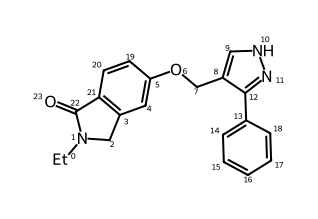 CCN1Cc2cc(OCc3c[nH]nc3-c3ccccc3)ccc2C1=O